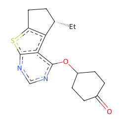 CC[C@H]1CCc2sc3ncnc(OC4CCC(=O)CC4)c3c21